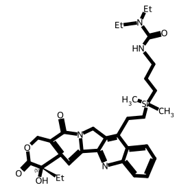 CCN(CC)C(=O)NCCC[Si](C)(C)CCc1c2c(nc3ccccc13)-c1cc3c(c(=O)n1C2)COC(=O)[C@]3(O)CC